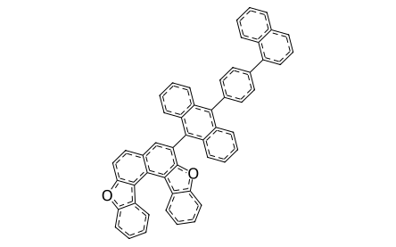 c1ccc2c(-c3ccc(-c4c5ccccc5c(-c5cc6ccc7oc8ccccc8c7c6c6c5oc5ccccc56)c5ccccc45)cc3)cccc2c1